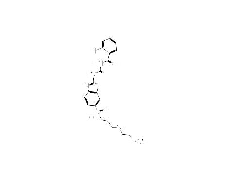 COCCNCCCS(=O)(=O)c1ccc2nc(NC(=O)NC(=O)c3ccccc3Cl)sc2c1